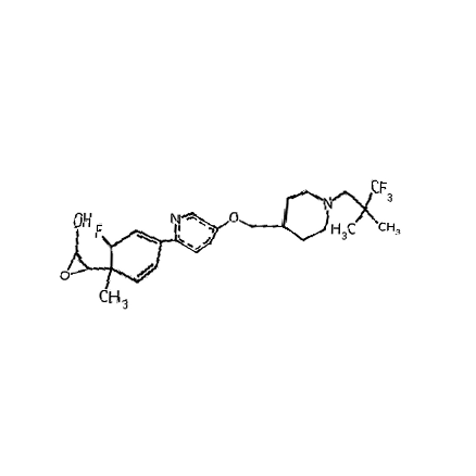 CC1(C2OC2O)C=CC(c2ccc(OCC3CCN(CC(C)(C)C(F)(F)F)CC3)cn2)=CC1F